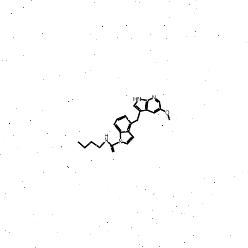 C=C(NCCCC)n1ccc2c(Cc3c[nH]c4ncc(OC)cc34)cccc21